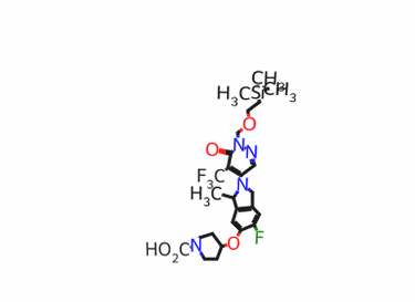 CC1c2cc(OC3CCN(C(=O)O)CC3)c(F)cc2CN1c1cnn(COCC[Si](C)(C)C)c(=O)c1C(F)(F)F